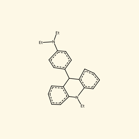 CCN(CC)c1ccc(C2c3ccccc3N(CC)c3ccccc32)cc1